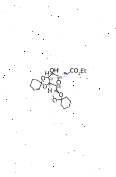 CCOC(=O)/C=C/[C@@H]1O[C@@H]([C@H]2COC3(CCCCC3)O2)[C@H]2OC3(CCCCC3)O[C@H]2[C@H]1O